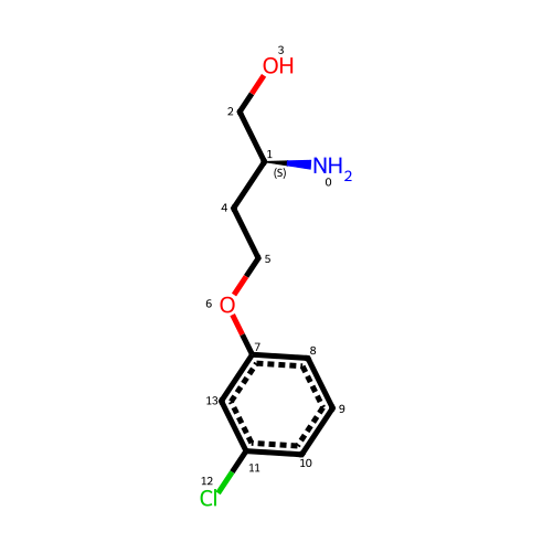 N[C@H](CO)CCOc1cccc(Cl)c1